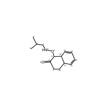 CC(C)CNOC1C(=O)CCC2C=CC=CC21